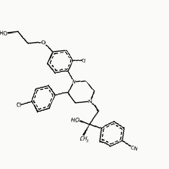 C[C@@](O)(CN1CCN(c2ccc(OCCO)cc2Cl)C(c2ccc(Cl)cc2)C1)c1ccc(C#N)cc1